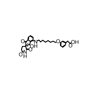 O=C(O)Cc1cccc(OCCCCCCCCNc2cccc3c2C(=O)N(C2CCC(=O)NC2=O)C3=O)c1